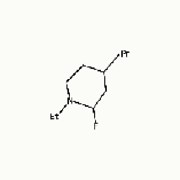 CCN1CCC(C(C)C)CC1F